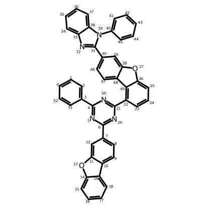 c1ccc(-c2nc(-c3ccc4c(c3)oc3ccccc34)nc(-c3cccc4oc5cc(-c6nc7ccccc7n6-c6ccccc6)ccc5c34)n2)cc1